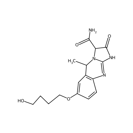 CC1c2cc(OCCCCO)ccc2N=C2NC(=O)C(C(N)=O)N21